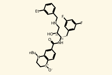 CCCCN1CC[S+]([O-])c2ccc(C(=O)N[C@@H](Cc3cc(F)cc(F)c3)[C@@H](O)CNCc3cccc(CC)c3)cc21